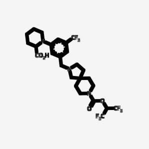 O=C(O)C1CCCCN1c1cc(CN2CCC3(CCN(C(=O)OC(C(F)(F)F)C(F)(F)F)CC3)C2)cc(C(F)(F)F)c1